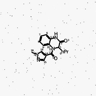 CCCC1C(=O)Nc2ccccc2N1C(=O)c1cnn(C)c1